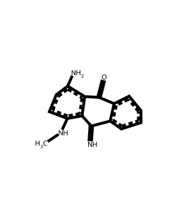 CNc1ccc(N)c2c1C(=N)c1ccccc1C2=O